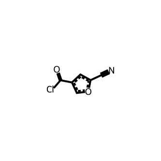 N#Cc1cc(C(=O)Cl)co1